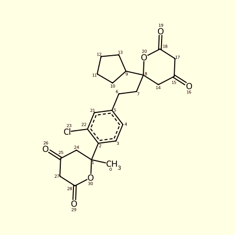 CC1(c2ccc(CCC3(C4CCCC4)CC(=O)CC(=O)O3)cc2Cl)CC(=O)CC(=O)O1